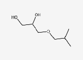 CC(C)COCC(O)CO